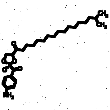 CC(C)CCCCCCCCCCCCCCC(=O)C1C[O][Ti](=[O])([C](=O)c2ccc(N)cc2)[O]1